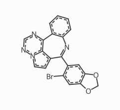 Brc1cc2c(cc1C1=Nc3ccccc3-c3ncnn4ccc1c34)OCO2